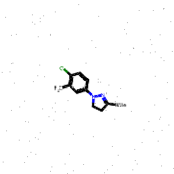 CNC1=NN(c2ccc(Cl)c(C(F)(F)F)c2)CC1